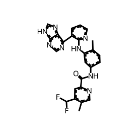 Cc1ccc(NC(=O)c2cc(C(F)F)c(C)cn2)cc1Nc1ncccc1-c1ncnc2[nH]cnc12